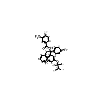 CC(C)C1C=CC([C@@](Cc2ccccc2)(NC(=O)c2ccc(F)c(C(F)(F)F)c2)c2cc(F)cc(OC(F)(F)C(F)F)c2)=CC1